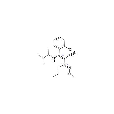 CCCC(=N\OC)/C(C#N)=C(\NC(C)C(C)C)c1ccccc1Cl